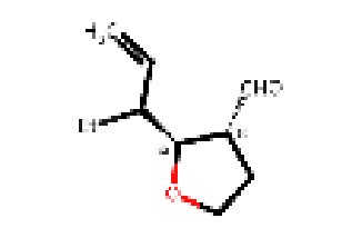 C=CC(CC)[C@@H]1OCC[C@H]1C=O